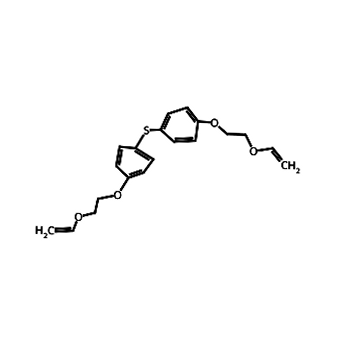 C=COCCOc1ccc(Sc2ccc(OCCOC=C)cc2)cc1